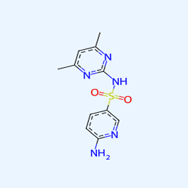 Cc1cc(C)nc(NS(=O)(=O)c2ccc(N)nc2)n1